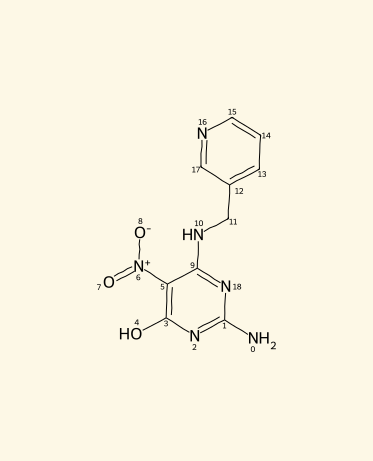 Nc1nc(O)c([N+](=O)[O-])c(NCc2cccnc2)n1